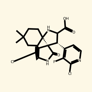 CC1(C)CCC2(CC1)NC(C(=O)O)[C@H](c1ccnc(Cl)c1F)[C@]21C(=O)Nc2cc(Cl)ncc21